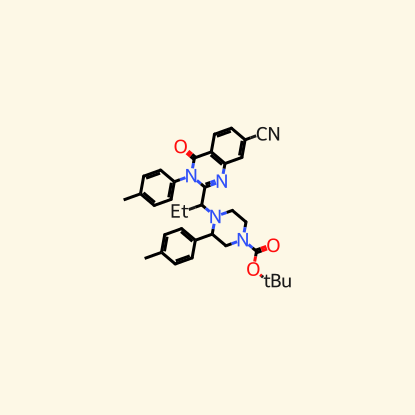 CCC(c1nc2cc(C#N)ccc2c(=O)n1-c1ccc(C)cc1)N1CCN(C(=O)OC(C)(C)C)CC1c1ccc(C)cc1